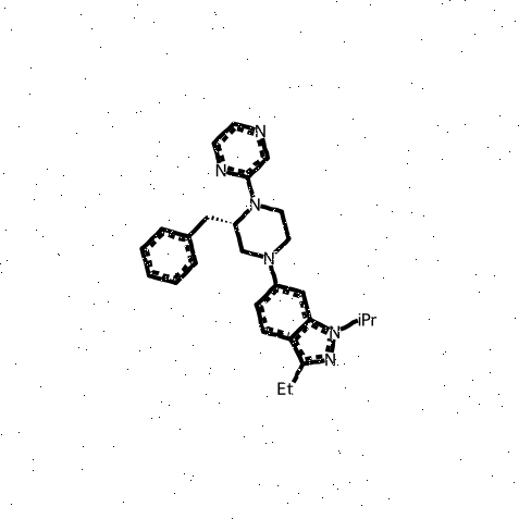 CCc1nn(C(C)C)c2cc(N3CCN(c4cnccn4)[C@@H](Cc4ccccc4)C3)ccc12